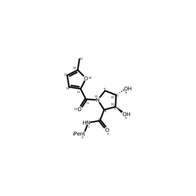 CCCC(C)NC(=O)C1[C@H](O)[C@@H](O)CN1C(=O)c1ccc(C)o1